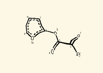 CCC(=O)C(=O)Oc1ccco1